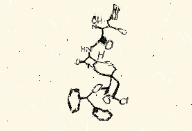 O=C(CBr)C(=NO)C(=O)NC1C(=O)N2CC(C=CCl)(C(=O)OC(c3ccccc3)c3ccccc3)CS[C@H]12